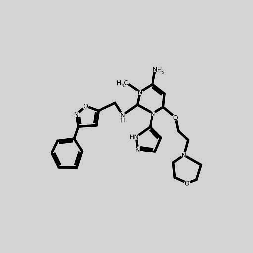 CN1C(N)=CC(OCCN2CCOCC2)N(c2ccn[nH]2)C1NCc1cc(-c2ccccc2)no1